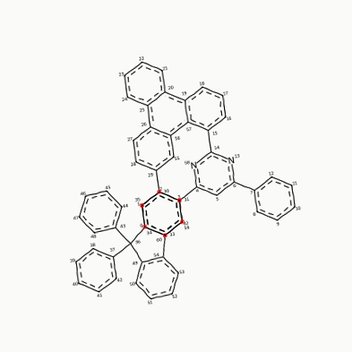 c1ccc(-c2cc(-c3ccccc3)nc(-c3cccc4c5ccccc5c5ccc(-c6ccc7c(c6)C(c6ccccc6)(c6ccccc6)c6ccccc6-7)cc5c34)n2)cc1